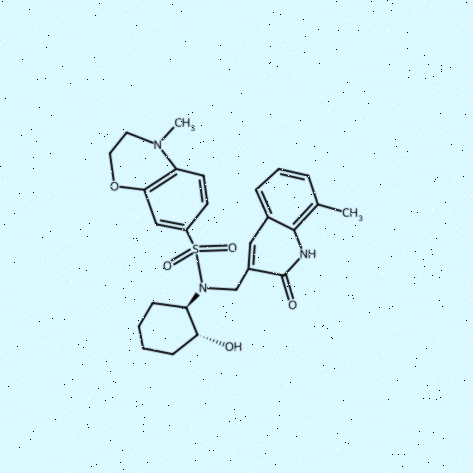 Cc1cccc2cc(CN([C@@H]3CCCC[C@H]3O)S(=O)(=O)c3ccc4c(c3)OCCN4C)c(=O)[nH]c12